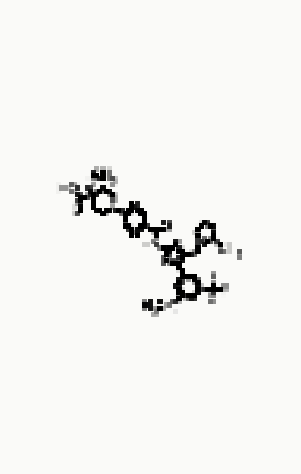 COc1cc(-c2nc(NC(=O)c3cnc(N4CCC(OC)(C(=O)O)CC4)cn3)sc2CN2CCC[C@H]2C)cc(C(F)(F)F)c1